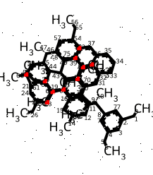 CCc1cc(CC)cc([C@@H](C)c2cc(C)cc([C@H](C)c3cc(CC)cc(CC)c3)c2-c2cc3cccc4ccc5c(c2=CC(c2c([C@H](C)c6cc(CC)cc(CC)c6)cc(C)cc2[C@H](C)c2cc(CC)cc(CC)c2)C5)c43)c1